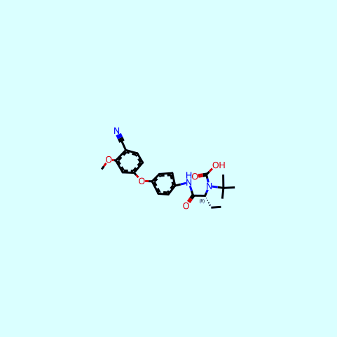 CC[C@H](C(=O)Nc1ccc(Oc2ccc(C#N)c(OC)c2)cc1)N(C(=O)O)C(C)(C)C